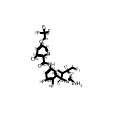 CC1[C@@](C)(CF)SC(N)=N[C@]1(C)c1cc(NC(=O)c2ncc(OCC(F)(F)F)cc2Cl)cc(F)c1F